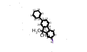 CC1(C)c2cc(I)ccc2-c2ccc(C3=CCCC=C3)cc21